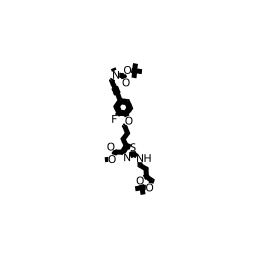 COC(=O)c1nc(NCCC2COC(C)(C)O2)sc1CCCOc1ccc(C#CCN(C)C(=O)OC(C)(C)C)cc1F